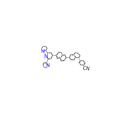 N#Cc1ccc(-c2cccc3cc(-c4ccc5cc(-c6cc(-c7ccccn7)nc(-c7ccccn7)c6)ccc5c4)ccc23)cc1